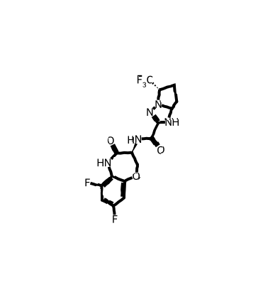 O=C(N[C@H]1COc2cc(F)cc(F)c2NC1=O)C1=NN2C(CC[C@H]2C(F)(F)F)N1